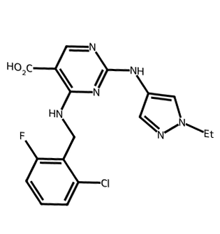 CCn1cc(Nc2ncc(C(=O)O)c(NCc3c(F)cccc3Cl)n2)cn1